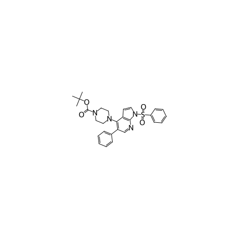 CC(C)(C)OC(=O)N1CCN(c2c(-c3ccccc3)cnc3c2ccn3S(=O)(=O)c2ccccc2)CC1